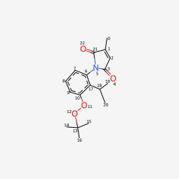 CC1=CC(=O)N(c2cccc(OOC(C)(C)C)c2C(C)C)C1=O